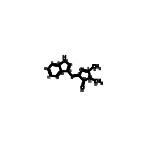 CC1=NC(=Cc2c[nH]c3ccccc23)C(=O)N1C